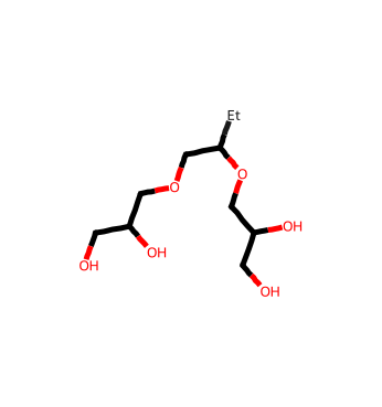 CCC(COCC(O)CO)OCC(O)CO